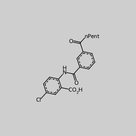 CCCCCC(=O)c1cccc(C(=O)Nc2ccc(Cl)cc2C(=O)O)c1